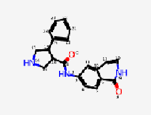 O=C(Nc1ccc2c(=O)[nH]ccc2c1)C1CNCC1c1ccccc1